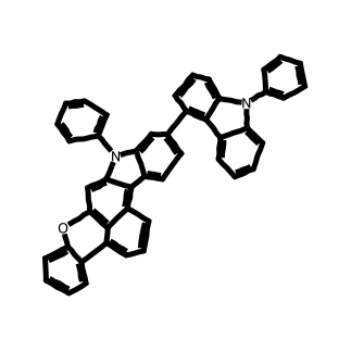 c1ccc(-n2c3ccccc3c3c(-c4ccc5c6c7cccc8c7c(cc6n(-c6ccccc6)c5c4)Oc4ccccc4-8)cccc32)cc1